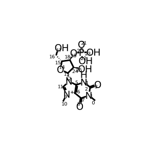 Cn1c(=O)[nH]c2c(c1=O)[n+](C)cn2[C@@H]1O[C@H](CO)[C@@H](OP(=O)(O)O)[C@H]1O